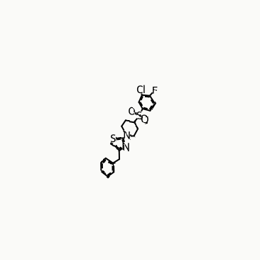 O=S(=O)(c1ccc(F)c(Cl)c1)C1CCN(c2nc(Cc3ccccc3)cs2)CC1